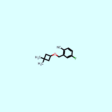 CC1(C)CC(OCc2cc(F)ccc2C#N)C1